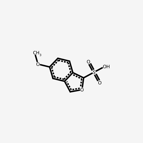 COc1ccc2c(S(=O)(=O)O)occ2c1